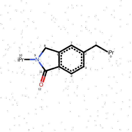 CC(C)Cc1ccc2c(c1)CN(C(C)C)C2=O